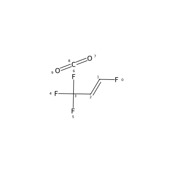 FC=CC(F)(F)F.O=C=O